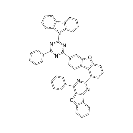 c1ccc(-c2nc(-c3ccc4c(c3)oc3cccc(-c5nc(-c6ccccc6)c6oc7ccccc7c6n5)c34)nc(-n3c4ccccc4c4ccccc43)n2)cc1